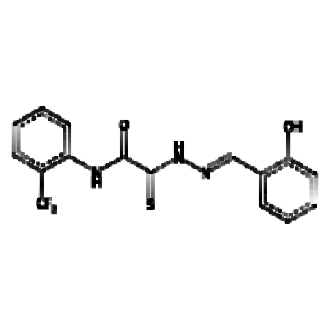 O=C(Nc1ccccc1C(F)(F)F)C(=S)N/N=C/c1ccccc1O